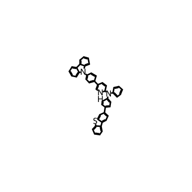 C1=CC(N(c2ccccc2)c2ccc(-c3ccc4c(c3)sc3ccccc34)cc2)NC=C1c1ccc(-n2c3ccccc3c3ccccc32)cc1